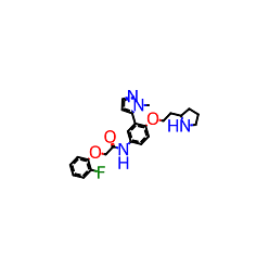 Cn1nccc1-c1cc(NC(=O)COc2ccccc2F)ccc1OCCC1CCCN1